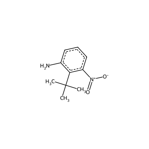 CC(C)(C)c1c(N)cccc1[N+](=O)[O-]